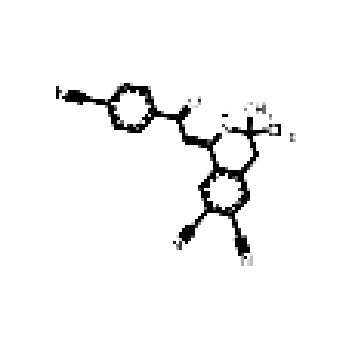 CC1(C)Cc2cc(C#N)c(C#N)cc2C(=CC(=O)c2ccc(C#N)cc2)N1